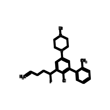 C=CCCC(F)c1cc(N2CCN(CC)CC2)cc(-c2ccccc2C)c1Cl